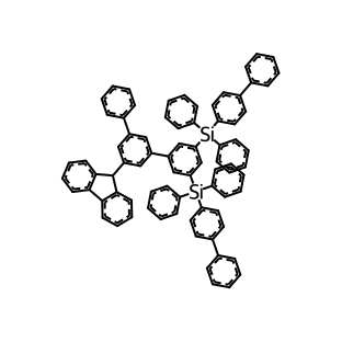 c1ccc(-c2ccc([Si](c3ccccc3)(c3ccccc3)c3cc(-c4cc(-c5ccccc5)cc(C5c6ccccc6-c6ccccc65)c4)cc([Si](c4ccccc4)(c4ccccc4)c4ccc(-c5ccccc5)cc4)c3)cc2)cc1